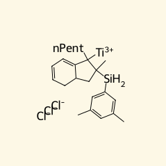 CCCCC[C]1([Ti+3])C2=CC=CCC2CC1(C)[SiH2]c1cc(C)cc(C)c1.[Cl-].[Cl-].[Cl-]